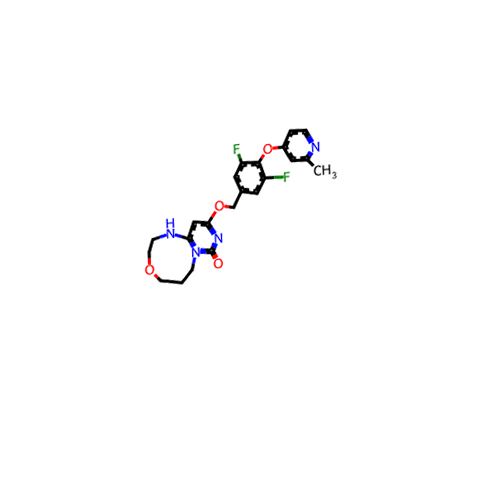 Cc1cc(Oc2c(F)cc(COc3cc4n(c(=O)n3)CCCOCCN4)cc2F)ccn1